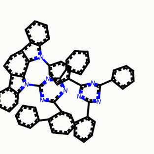 c1ccc(-c2nc(-c3ccccc3)nc(-c3ccc(-n4c5ccccc5c5ccc6c7ccccc7n(-c7nc(-c8ccccc8)nc(-c8ccccc8-c8ccccc8)n7)c6c54)cc3)n2)cc1